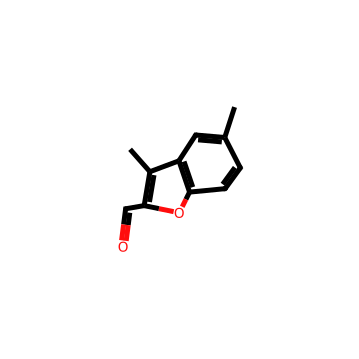 Cc1ccc2oc(C=O)c(C)c2c1